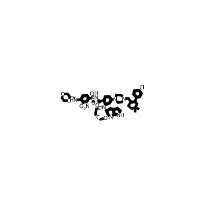 CC1(C)CCC(CN2CCN(c3ccc(C(=O)NS(=O)(=O)c4ccc(NC[C@H]5COCCO5)c([N+](=O)[O-])c4)c(N4CCCCCOc5nc6[nH]ccc6cc54)c3)CC2)=C(c2ccc(Cl)cc2)C1